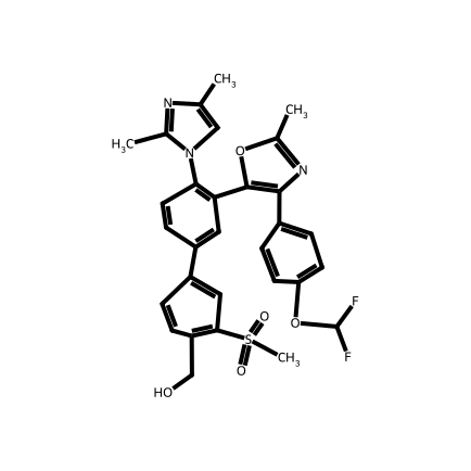 Cc1cn(-c2ccc(-c3ccc(CO)c(S(C)(=O)=O)c3)cc2-c2oc(C)nc2-c2ccc(OC(F)F)cc2)c(C)n1